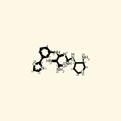 N=C(/N=C(/Nc1cccc(-c2ncco2)c1)C(=N)C(N)=O)N[C@@H]1CCOC[C@@H]1N